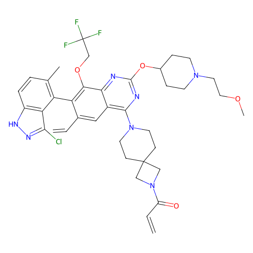 C=CC(=O)N1CC2(CCN(c3nc(OC4CCN(CCOC)CC4)nc4c(OCC(F)(F)F)c(-c5c(C)ccc6[nH]nc(Cl)c56)c(C=C)cc34)CC2)C1